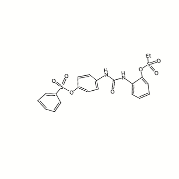 CCS(=O)(=O)Oc1ccccc1NC(=O)Nc1ccc(OS(=O)(=O)c2ccccc2)cc1